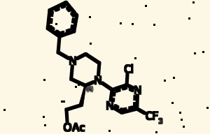 CC(=O)OCC[C@H]1CN(Cc2ccccc2)CCN1c1ncc(C(F)(F)F)nc1Cl